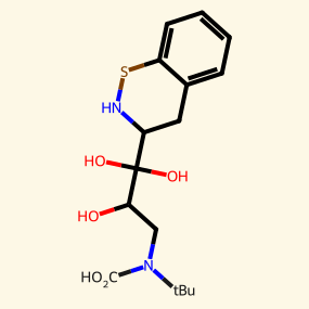 CC(C)(C)N(CC(O)C(O)(O)C1Cc2ccccc2SN1)C(=O)O